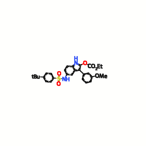 CCOC(=O)Oc1[nH]c2ccc(NS(=O)(=O)c3ccc(C(C)(C)C)cc3)cc2c1-c1cccc(OC)c1